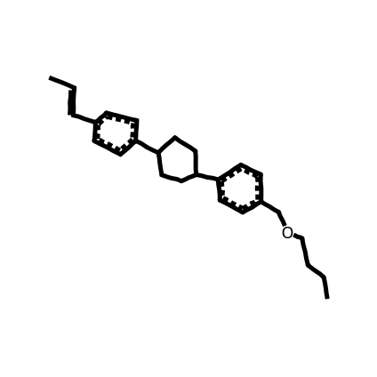 C/C=C/c1ccc(C2CCC(c3ccc(COCCCC)cc3)CC2)cc1